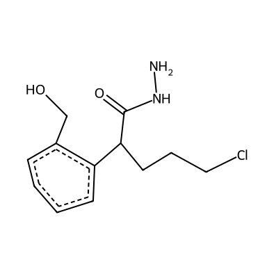 NNC(=O)C(CCCCl)c1ccccc1CO